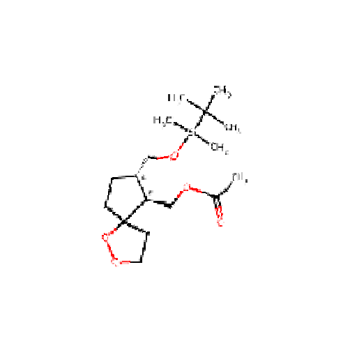 CC(=O)OC[C@@H]1[C@@H](CO[Si](C)(C)C(C)(C)C)CCC12CCOO2